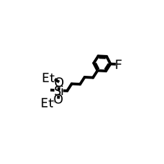 CCO[Si](C)(CCCCCc1cccc(F)c1)OCC